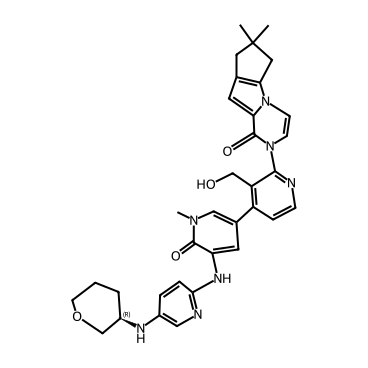 Cn1cc(-c2ccnc(-n3ccn4c5c(cc4c3=O)CC(C)(C)C5)c2CO)cc(Nc2ccc(N[C@@H]3CCCOC3)cn2)c1=O